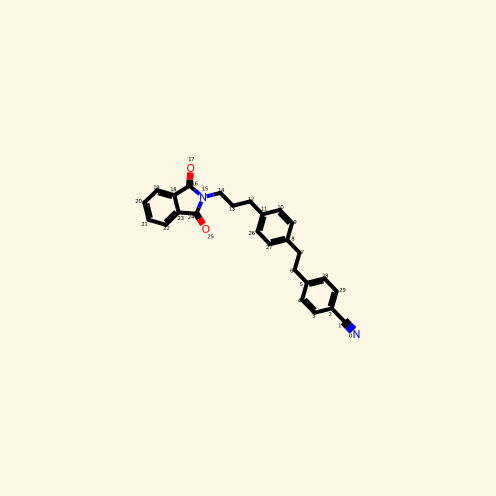 N#Cc1ccc(CCc2ccc(CCCN3C(=O)c4ccccc4C3=O)cc2)cc1